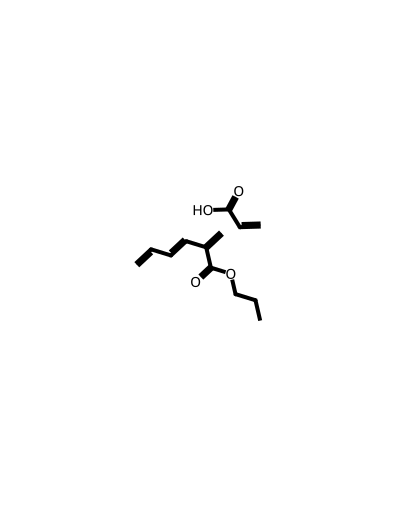 C=CC(=O)O.C=CC=CC(=C)C(=O)OCCC